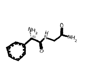 NC(=O)CNC(=O)[C@@H](N)c1ccccc1